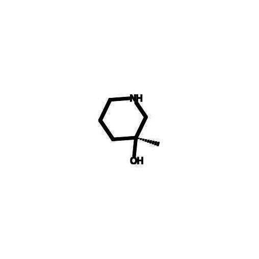 C[C@]1(O)CCCNC1